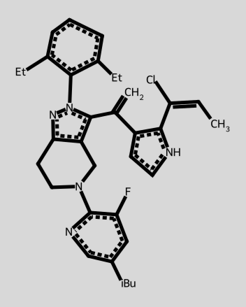 C=C(c1cc[nH]c1/C(Cl)=C\C)c1c2c(nn1-c1c(CC)cccc1CC)CCN(c1ncc(C(C)CC)cc1F)C2